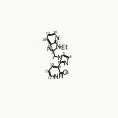 CCn1c(Cn2ccnc2-c2ccc[nH]c2=O)nc2cccnc21